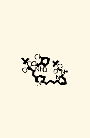 CN(C(=O)OC(C)(C)C)c1cccc(CCCc2ccc(CC(NC(=O)c3c(Cl)cccc3Cl)C(=O)OC(C)(C)C)cn2)n1